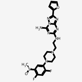 C[S@+]([O-])c1cc(N2CCN(CCNc3nc(N)n4nc(-c5ccco5)nc4n3)CC2)c(F)cc1F